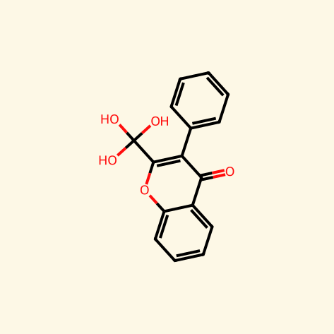 O=c1c(-c2ccccc2)c(C(O)(O)O)oc2ccccc12